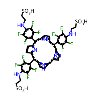 O=S(=O)(O)CCNc1c(F)c(F)c(-c2c3nc(c(-c4c(F)c(F)c(NCCS(=O)(=O)O)c(F)c4F)c4ccc([nH]4)c4ccc([nH]4)c(-c4c(F)c(F)c(NCCS(=O)(=O)O)c(F)c4F)c4ccc2[nH]4)C=C3)c(F)c1F